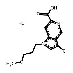 COCCCn1cc(Cl)c2cnc(C(=O)O)cc21.Cl